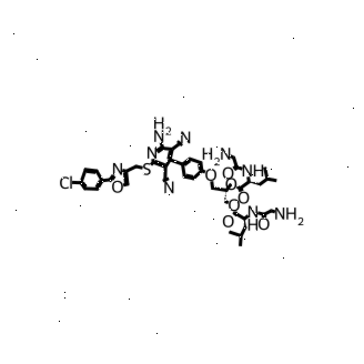 CC(C)C[C@H](NC(=O)CN)C(=O)OC[C@H](COc1ccc(-c2c(C#N)c(N)nc(SCc3coc(-c4ccc(Cl)cc4)n3)c2C#N)cc1)OC(=O)[C@H](CC(C)C)NC(=O)CN